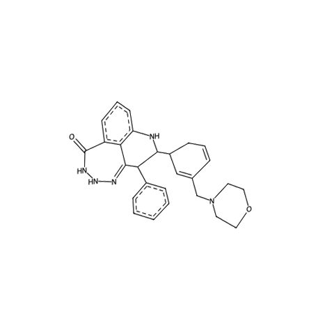 O=C1NNN=C2c3c(cccc31)NC(C1C=C(CN3CCOCC3)C=CC1)C2c1ccccc1